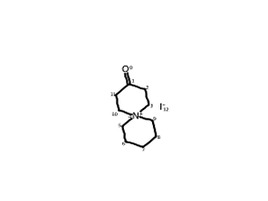 O=C1CC[N+]2(CCCCC2)CC1.[I-]